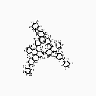 c1ccc(-c2ccc(-c3c4ccccc4c(-c4ccc(-c5ccc(-c6ccccn6)nc5-c5ccc(-c6c7ccccc7c(-c7ccc(-c8ccccc8)cc7)c7ccccc67)cc5)cc4)c4ccccc34)cc2)cc1